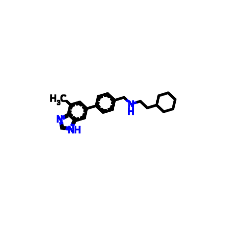 Cc1cc(-c2ccc(CNCCC3CCCCC3)cc2)cc2[nH]cnc12